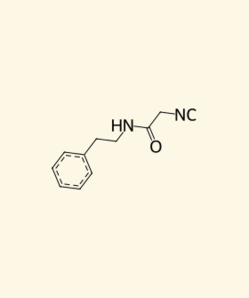 [C-]#[N+]CC(=O)NCCc1ccccc1